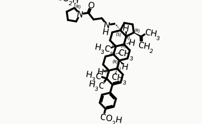 C=C(C)[C@@H]1CC[C@]2(CNCCC(=O)N3CCC[C@@H]3C(=O)O)CC[C@]3(C)[C@H](CC[C@@H]4[C@@]5(C)CC=C(c6ccc(C(=O)O)cc6)C(C)(C)[C@@H]5CC[C@]43C)[C@@H]12